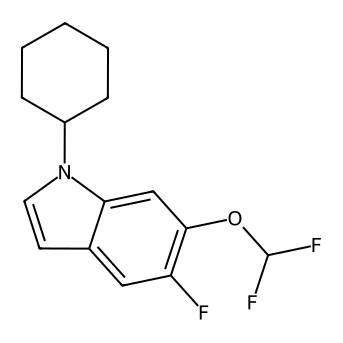 Fc1cc2ccn(C3CCCCC3)c2cc1OC(F)F